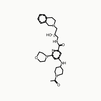 CC(=O)N1CCC(Nc2cc(C(=O)NC[C@H](O)CN3CCc4ccccc4C3)nc(N3CCOCC3)c2)CC1